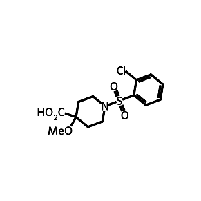 COC1(C(=O)O)CCN(S(=O)(=O)c2ccccc2Cl)CC1